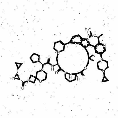 CO[C@@H](C)c1ncc(N2CCN(C3CC3)CC2)cc1-c1c2c3cc(ccc3n1CC(F)(F)F)C1=CCCN(C1)C[C@H](NC(=O)[C@H](C1CCCC1)N1CCOC3(CN(C(=O)[C@@H]4N[C@@H]4C4CC4)C3)C1)C(=O)N1CCC[C@H](N1)C(=O)OCC(C)(C)C2